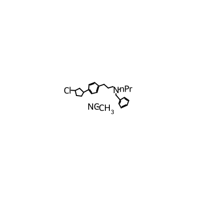 CC#N.CCCN(CCCc1ccc(C2CCC(Cl)C2)cc1)Cc1ccccc1